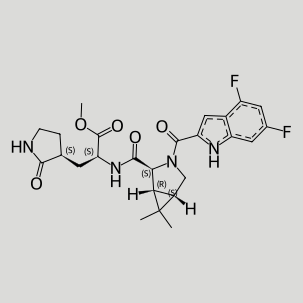 COC(=O)[C@H](C[C@@H]1CCNC1=O)NC(=O)[C@@H]1[C@@H]2[C@H](CN1C(=O)c1cc3c(F)cc(F)cc3[nH]1)C2(C)C